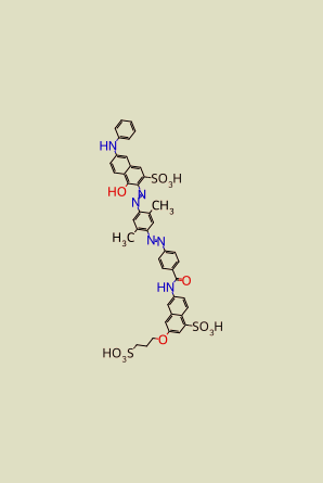 Cc1cc(N=Nc2c(S(=O)(=O)O)cc3cc(Nc4ccccc4)ccc3c2O)c(C)cc1N=Nc1ccc(C(=O)Nc2ccc3c(S(=O)(=O)O)cc(OCCCS(=O)(=O)O)cc3c2)cc1